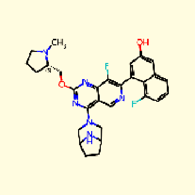 CN1CCC[C@H]1COc1nc(N2CC3CCC(C2)N3)c2cnc(-c3cc(O)cc4cccc(F)c34)c(F)c2n1